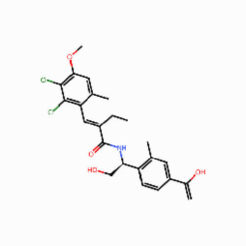 C=C(O)c1ccc([C@@H](CO)NC(=O)/C(=C/c2c(C)cc(OC)c(Cl)c2Cl)CC)c(C)c1